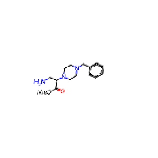 COC(=O)C(CN)N1CCN(Cc2ccccc2)CC1